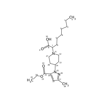 CCCCCCCC(C(=O)O)N1CCC(n2nc(C)cc2C(=O)OCC)CC1